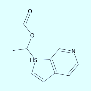 CC(OC=O)[SH]1C=Cc2ccncc21